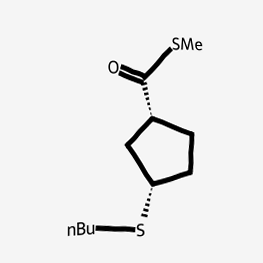 CCCCS[C@H]1CC[C@@H](C(=O)SC)C1